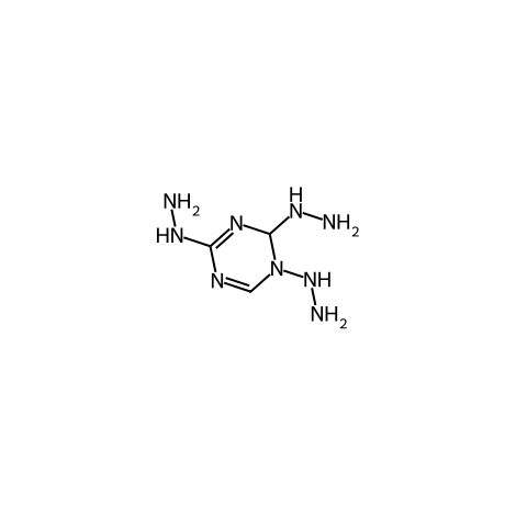 NNC1=NC(NN)N(NN)C=N1